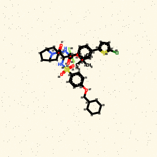 CC(C)(C)OC(=O)NC1CC2CCC(C1)N2C(=O)C(NS(=O)(=O)c1ccc(OCC2CCCCC2)cc1)C(F)(F)c1ccc(-c2ccc(Cl)s2)cc1